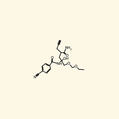 C#CCC(CC(O)(COCOCC)NC(=O)c1ccc(C#N)cc1)C(N)=O